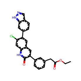 CCOC(=O)Cc1cccc(-c2cc3cc(-c4ccc5cn[nH]c5c4)c(Cl)cc3[nH]c2=O)c1